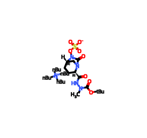 CCCC[N+](CCCC)(CCCC)CCCC.CN(NC(=O)[C@@H]1CC[C@@H]2CN1C(=O)N2OS(=O)(=O)[O-])C(=O)OC(C)(C)C